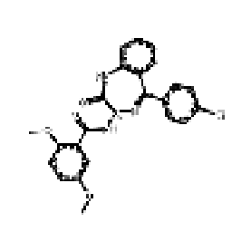 COc1ccc(OC)c(C(=O)N[C@@H]2N=C(c3ccc(Cl)cc3)c3ccccc3NC2=O)c1